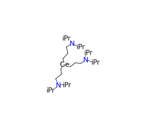 CC(C)N(CC[CH2][Ge]([CH2]CCN(C(C)C)C(C)C)[CH2]CCN(C(C)C)C(C)C)C(C)C